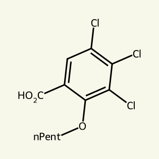 CCCCCOc1c(C(=O)O)cc(Cl)c(Cl)c1Cl